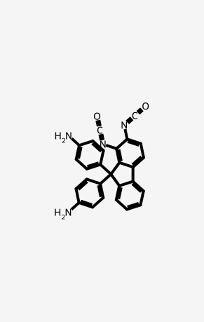 Nc1ccc(C2(c3ccc(N)cc3)c3ccccc3-c3ccc(N=C=O)c(N=C=O)c32)cc1